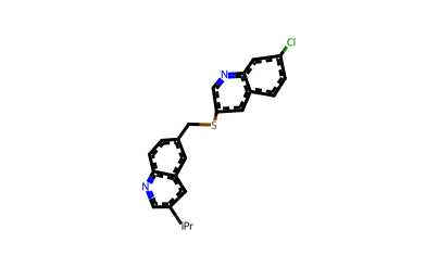 CC(C)c1cnc2ccc(CSc3cnc4cc(Cl)ccc4c3)cc2c1